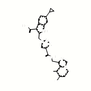 O=C(NCc1ncn2ccc(Cl)c(F)c12)c1cn(Cc2[nH]c3cc(C4CC4)ccc3c2C(=O)O)nn1